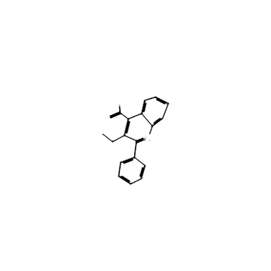 CCc1c(-c2ccccc2)nc2ccccc2c1C(=O)O